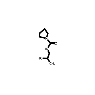 CC(O)CNC(=O)N1CCCC1